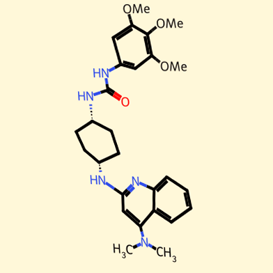 COc1cc(NC(=O)N[C@H]2CC[C@@H](Nc3cc(N(C)C)c4ccccc4n3)CC2)cc(OC)c1OC